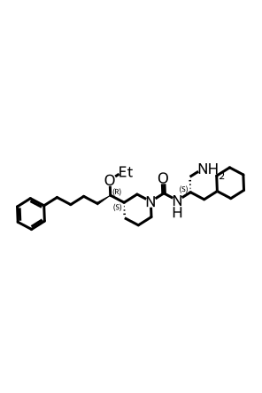 CCO[C@H](CCCCc1ccccc1)[C@H]1CCCN(C(=O)N[C@H](CN)CC2CCCCC2)C1